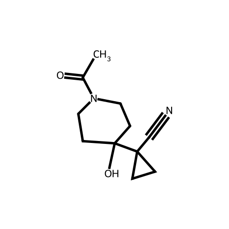 CC(=O)N1CCC(O)(C2(C#N)CC2)CC1